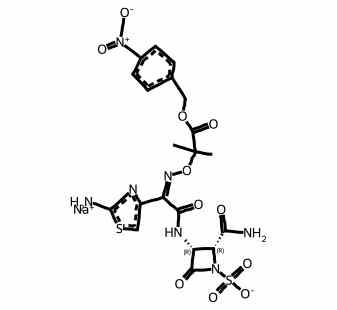 CC(C)(ON=C(C(=O)N[C@H]1C(=O)N(S(=O)(=O)[O-])[C@H]1C(N)=O)c1csc(N)n1)C(=O)OCc1ccc([N+](=O)[O-])cc1.[Na+]